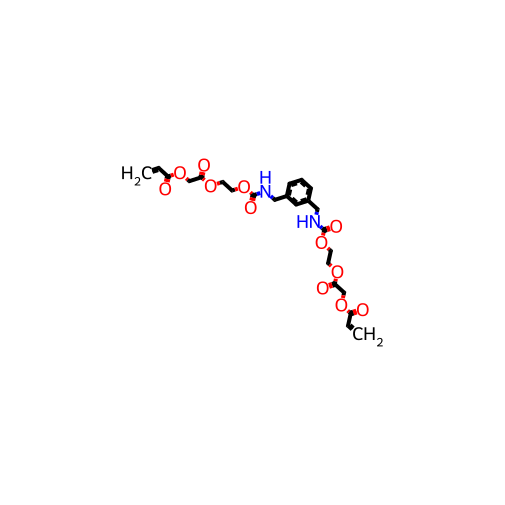 C=CC(=O)OCC(=O)OCCOC(=O)NCc1cccc(CNC(=O)OCCOC(=O)COC(=O)C=C)c1